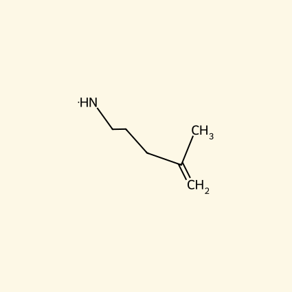 C=C(C)CCC[NH]